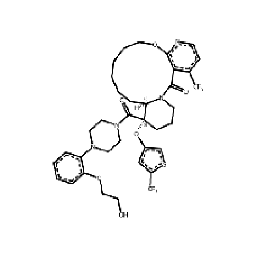 O=C1c2c(C(F)(F)F)ccnc2OCCCCCC[C@H]2N1CCC[C@@]2(Oc1csc(C(F)(F)F)c1)C(=O)N1CCN(c2ccccc2OCCO)CC1